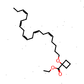 CC/C=C\C/C=C\C/C=C\C/C=C\C/C=C\CCCCOC1(C(=O)OCC)CCC1